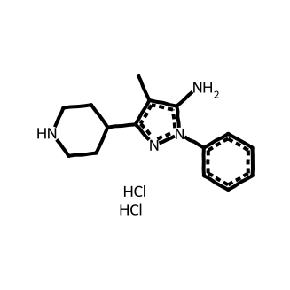 Cc1c(C2CCNCC2)nn(-c2ccccc2)c1N.Cl.Cl